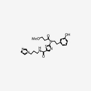 COCCC(=O)N(CCc1cccc(O)c1)c1ncc(C(=O)NCCCn2ccnc2)s1